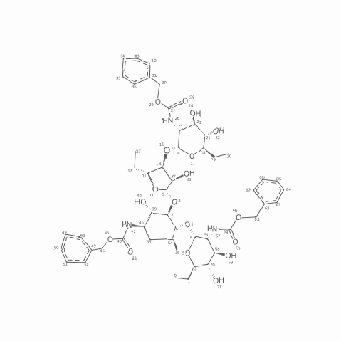 CC[C@H]1O[C@H](O[C@H]2[C@H](O[C@@H]3O[C@H](CC)[C@@H](O[C@H]4O[C@H](CC)[C@@H](O)[C@H](O)[C@H]4NC(=O)OCc4ccccc4)[C@H]3O)[C@@H](O)[C@H](NC(=O)OCc3ccccc3)C[C@@H]2C)[C@H](NC(=O)OCc2ccccc2)[C@@H](O)[C@@H]1O